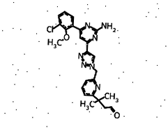 COc1c(Cl)cccc1-c1cc(-c2cn(Cc3cccc(C(C)(C)CC=O)n3)nn2)nc(N)n1